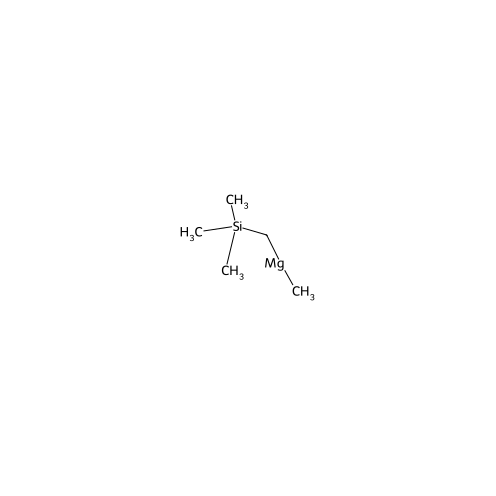 [CH3][Mg][CH2][Si](C)(C)C